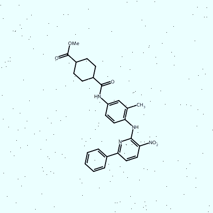 COC(=O)C1CCC(C(=O)Nc2ccc(Nc3nc(-c4ccccc4)ccc3[N+](=O)[O-])c(C)c2)CC1